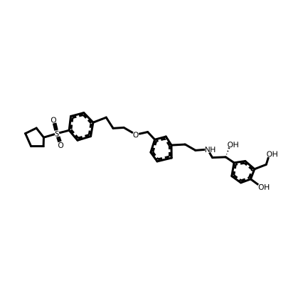 O=S(=O)(c1ccc(CCCOCc2cccc(CCNC[C@H](O)c3ccc(O)c(CO)c3)c2)cc1)C1CCCC1